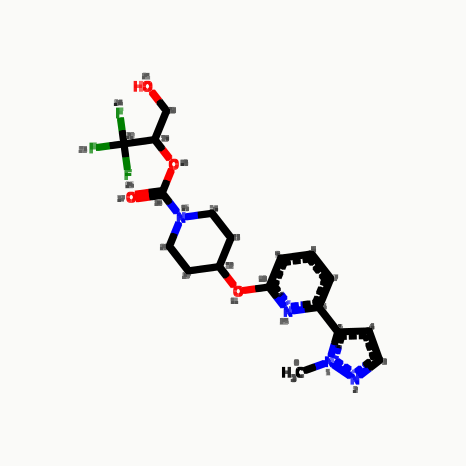 Cn1nccc1-c1cccc(OC2CCN(C(=O)OC(CO)C(F)(F)F)CC2)n1